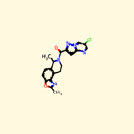 Cc1nc2c3c(ccc2o1)C(C)N(C(=O)c1cc2ncc(Cl)cn2n1)CC3